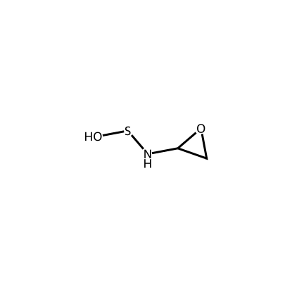 OSNC1CO1